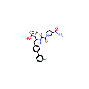 NC(=O)C1CCN(C(=O)C(=O)NC(Cc2ccc(-c3cccc(Cl)c3)cc2)C[C@@H](O)C(=O)O)C1